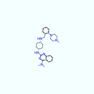 CN1CCN(c2ccccc2CN[C@H]2CC[C@@H](Nc3nc(N(C)C)c4ccccc4n3)CC2)CC1